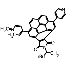 C=N/C=C\C(=C/C)c1cc2c3c(=O)n(C(C)CCCC)c(=O)c3c3cc(-c4ccncc4)c4ccc5ccc1c1c5c4c3c21